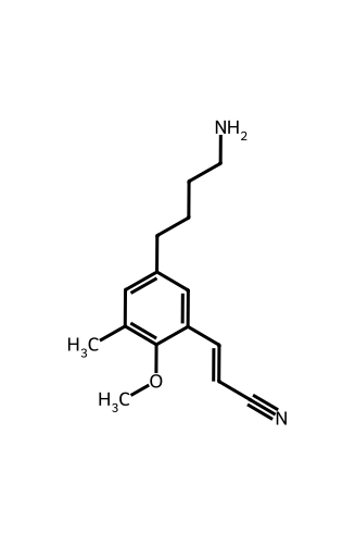 COc1c(C)cc(CCCCN)cc1/C=C/C#N